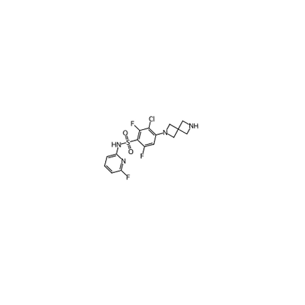 O=S(=O)(Nc1cccc(F)n1)c1c(F)cc(N2CC3(CNC3)C2)c(Cl)c1F